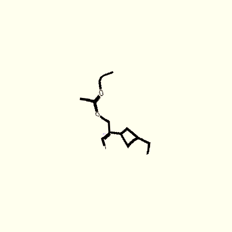 CCOC(C)OC/C(=C/I)C1CC(CC)C1